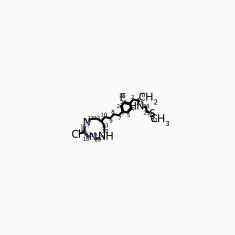 C=C(Cc1ccc(CCCCC2CC\N=C/C(Cl)=C\N=C\NCC2)cc1F)NCCSC